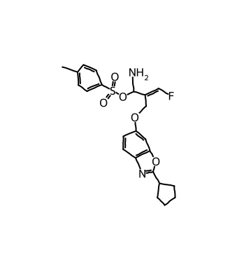 Cc1ccc(S(=O)(=O)OC(N)/C(=C/F)COc2ccc3nc(C4CCCC4)oc3c2)cc1